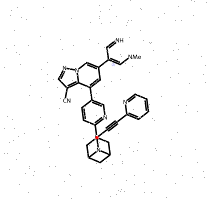 CN/C=C(\C=N)c1cc(-c2ccc(N3CC4CC(C3)N4CC#Cc3ccccn3)nc2)c2c(C#N)cnn2c1